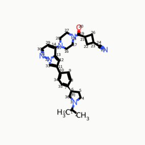 CC(C)N1CC[C@H](c2ccc(-c3cc4c(N5CCN(C(=O)C6CC(C#N)C6)CC5)ccnn4c3)cc2)C1